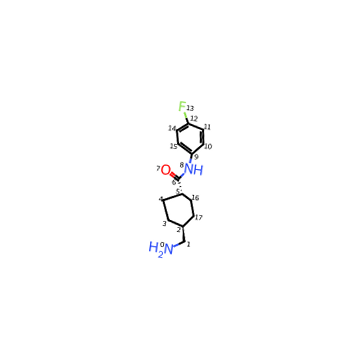 NC[C@H]1CC[C@H](C(=O)Nc2ccc(F)cc2)CC1